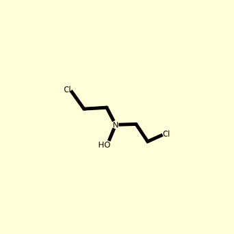 ON(CCCl)CCCl